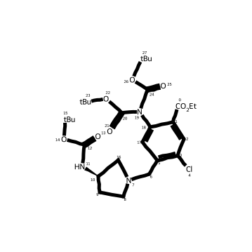 CCOC(=O)c1cc(Cl)c(CN2CC[C@@H](NC(=O)OC(C)(C)C)C2)cc1N(C(=O)OC(C)(C)C)C(=O)OC(C)(C)C